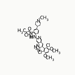 C=C(C)C(=O)Nc1cc(C2CCN(CC)CC2)ccc1Nc1cc2c(cn1)cc(-c1c(Cl)c(OC)cc(OC)c1Cl)c1ncnn12